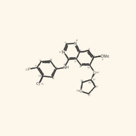 COc1cc2ncnc(Nc3ccc(F)c(Cl)c3)c2cc1O[C@H]1CCOC1